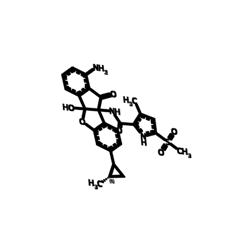 Cc1cc(S(C)(=O)=O)[nH]c1C(=O)NC12C(=O)c3c(N)cccc3C1(O)Oc1cc(C3C[C@@H]3C)ccc12